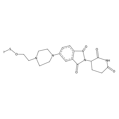 O=C1CCC(N2C(=O)c3ccc(N4CCN(CCOSI)CC4)cc3C2=O)C(=O)N1